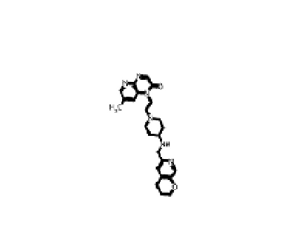 Cc1cnc2ncc(=O)n(CCN3CCC(NCc4cc5c(cn4)OCCC5)CC3)c2c1